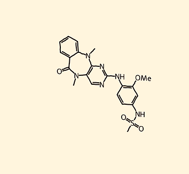 COc1cc(NS(C)(=O)=O)ccc1Nc1ncc2c(n1)N(C)c1ccccc1C(=O)N2C